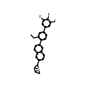 CCc1cc(-c2cc(F)c(F)c(F)c2)ccc1-c1ccc2cc(C3C4C5CS534)ccc2c1